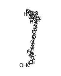 O=Cc1ccc(CN2CCN(C(=O)CCOCCOCCOCCOCCOCCNc3cccc4c3C(=O)N(C3CCC(=O)NC3=O)C4=O)CC2)cc1